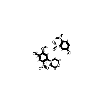 CN(C)c1ccc(Cl)cc1[N+](=O)[O-].COc1cc(N2CCOCC2)c([N+](=O)[O-])cc1Cl